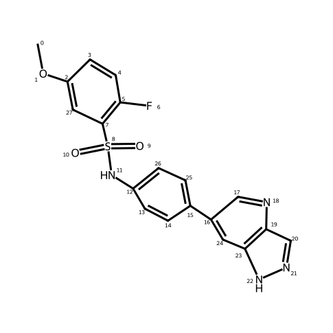 COc1ccc(F)c(S(=O)(=O)Nc2ccc(-c3cnc4cn[nH]c4c3)cc2)c1